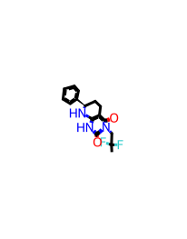 CC(F)(F)Cn1c(=O)[nH]c2c(c1=O)CC[C@H](c1ccccc1)N2